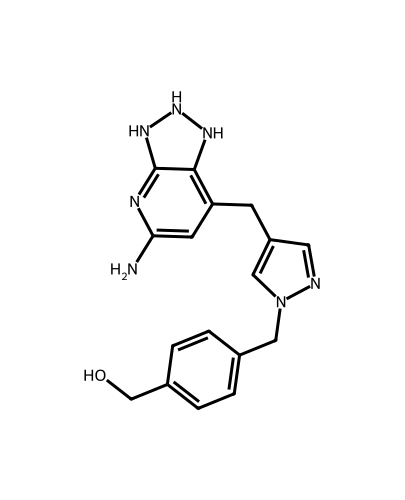 Nc1cc(Cc2cnn(Cc3ccc(CO)cc3)c2)c2c(n1)NNN2